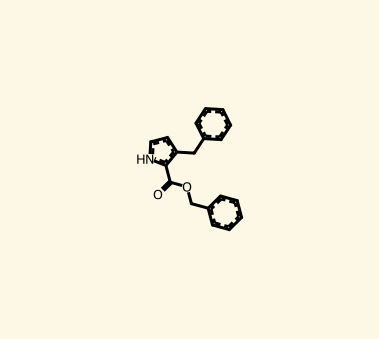 O=C(OCc1ccccc1)c1[nH]ccc1Cc1ccccc1